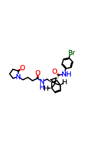 O=C(CCCN1CCCC1=O)NC[C@H]1[C@H](C(=O)Nc2ccc(Br)cc2)[C@@H]2C=C[C@H]1C21CC1